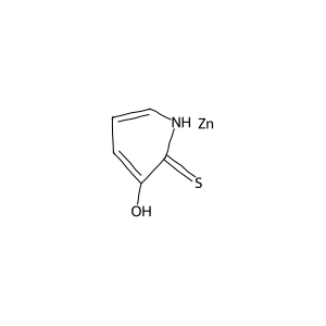 Oc1ccc[nH]c1=S.[Zn]